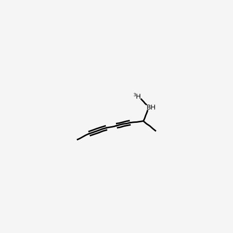 [3H]BC(C)C#CC#CC